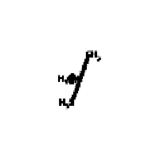 CCCCCCCCCCCCCCCCC(CCCCCCCCCCCCCCCC)CCCOS(C)(=O)=O